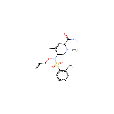 C=CCON(C1CN(C(=O)O)C(C(N)=O)C=C1C)S(=O)(=O)c1ccccc1[N+](=O)[O-]